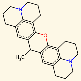 CC1c2cc3c4c(c2Oc2c1cc1c5c2CCCN5CCC1)CCCN4CCC3